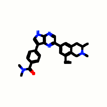 COc1cc(-c2cnc3[nH]cc(-c4ccc(C(=O)N(C)C)cc4)c3n2)cc2c1CN(C)C(C)C2